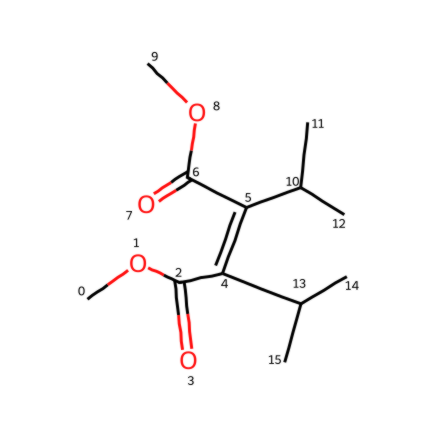 COC(=O)C(=C(C(=O)OC)C(C)C)C(C)C